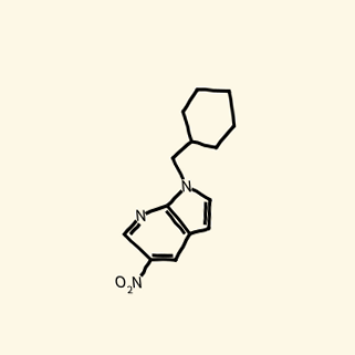 O=[N+]([O-])c1cnc2c(ccn2CC2CCCCC2)c1